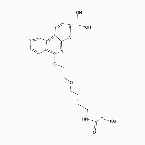 CC(C)(C)OC(=O)NCCCCOCCOc1nc2nc(C(O)O)ccc2c2cnccc12